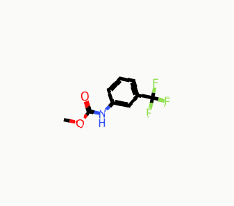 COC(=O)Nc1cccc(C(F)(F)F)c1